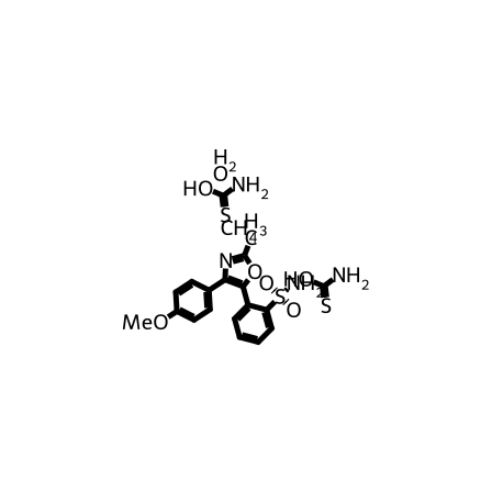 C.COc1ccc(-c2nc(C)oc2-c2ccccc2S(N)(=O)=O)cc1.NC(O)=S.NC(O)=S.O